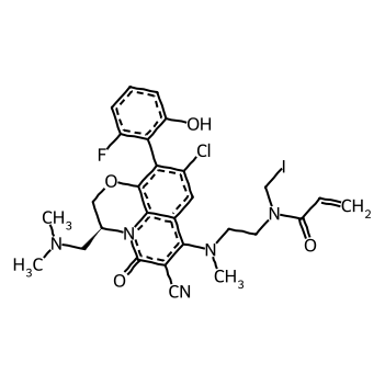 C=CC(=O)N(CI)CCN(C)c1c(C#N)c(=O)n2c3c(c(-c4c(O)cccc4F)c(Cl)cc13)OC[C@@H]2CN(C)C